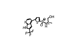 C[C@H](CO)NS(=O)(=O)c1ccc(-c2ccnc3[nH]c(C(F)(F)F)cc23)s1